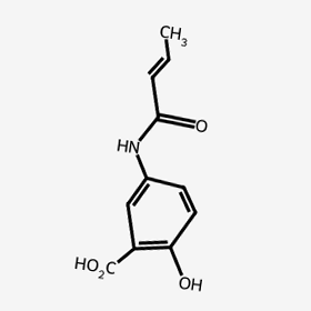 CC=CC(=O)Nc1ccc(O)c(C(=O)O)c1